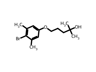 Cc1cc(OCCCC(C)(C)O)cc(C)c1Br